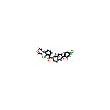 O=C(c1cccc(N2CCOCC2)c1Cl)N1CCN2C[C@@](O)(c3ccc(Cl)cc3)CC[C@@H]2C1